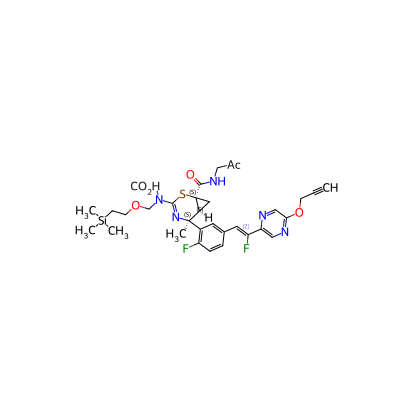 C#CCOc1cnc(/C(F)=C/c2ccc(F)c([C@@]3(C)N=C(N(COCC[Si](C)(C)C)C(=O)O)S[C@@]4(C(=O)NCC(C)=O)C[C@H]43)c2)cn1